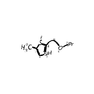 Cc1c[siH]c(COC(C)C)s1